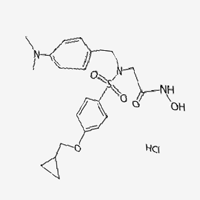 CN(C)c1ccc(CN(CC(=O)NO)S(=O)(=O)c2ccc(OCC3CC3)cc2)cc1.Cl